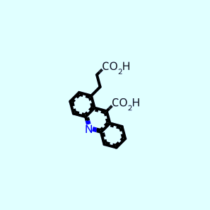 O=C(O)CCc1cccc2nc3ccccc3c(C(=O)O)c12